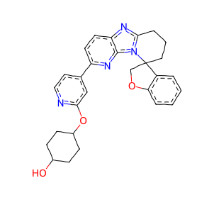 OC1CCC(Oc2cc(-c3ccc4nc5n(c4n3)C3(CCC5)COc4ccccc43)ccn2)CC1